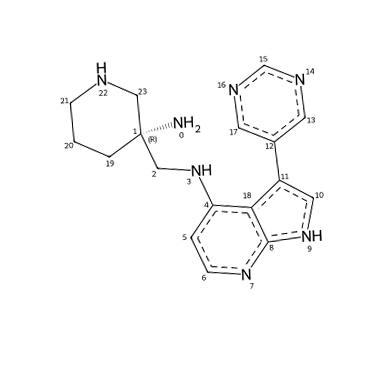 N[C@]1(CNc2ccnc3[nH]cc(-c4cncnc4)c23)CCCNC1